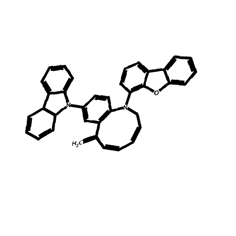 C=C1/C=C\C=C/CN(c2cccc3c2oc2ccccc23)c2ccc(N3c4ccccc4C4C=CC=CC43)cc21